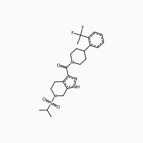 CC(C)S(=O)(=O)N1CCc2c(C(=O)N3CCC(c4ccccc4C(F)(F)F)CC3)n[nH]c2C1